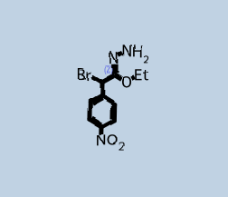 CCO/C(=N\N)C(Br)c1ccc([N+](=O)[O-])cc1